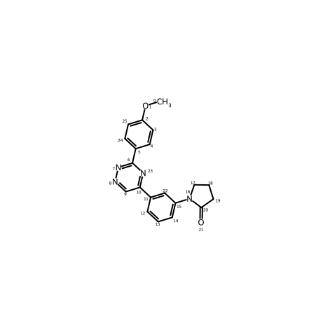 COc1ccc(-c2nncc(-c3cccc(N4CCCC4=O)c3)n2)cc1